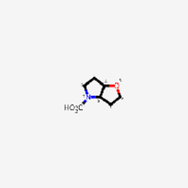 O=C(O)N1CCC2OCCC21